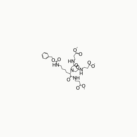 COC(=O)CCNC(=O)CN(CC(=O)NCCC(=O)OC)C(CCCCNC(=O)OCc1ccccc1)C(=O)NCCC(=O)OC